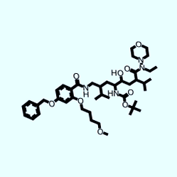 CCN(C(=O)C(CC(O)C(CC(CNC(=O)c1ccc(OCc2ccccc2)cc1OCCCCOC)C(C)C)NC(=O)OC(C)(C)C)C(C)C)N1CCOCC1